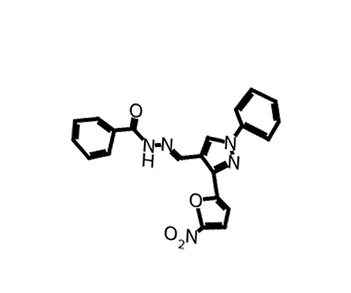 O=C(NN=Cc1cn(-c2ccccc2)nc1-c1ccc([N+](=O)[O-])o1)c1ccccc1